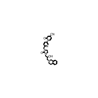 N#Cc1ccn(-c2ccc(CN3CCN(C[C@H](O)CN4CCc5ccccc5C4)C3=O)nc2)c(=O)c1